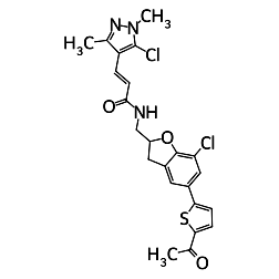 CC(=O)c1ccc(-c2cc(Cl)c3c(c2)CC(CNC(=O)C=Cc2c(C)nn(C)c2Cl)O3)s1